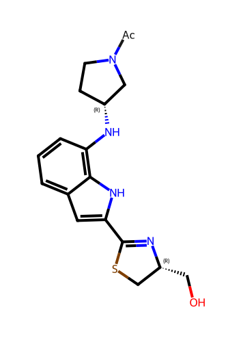 CC(=O)N1CC[C@@H](Nc2cccc3cc(C4=N[C@H](CO)CS4)[nH]c23)C1